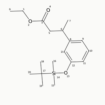 CCOC(=O)CC(C)c1cccc(O[Si](C)(C)C(C)(C)C)c1